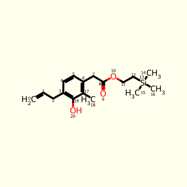 C=CCc1ccc(CC(=O)OCC[Si](C)(C)C)c(C)c1O